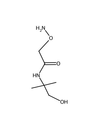 CC(C)(CO)NC(=O)CON